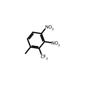 Cc1ccc([N+](=O)[O-])c([N+](=O)[O-])c1C(F)(F)F